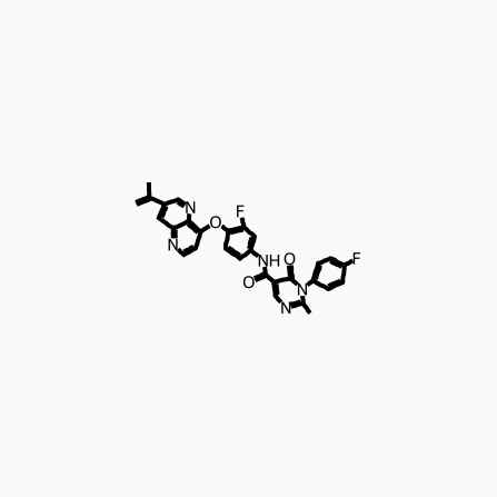 C=C(C)c1cnc2c(Oc3ccc(NC(=O)c4cnc(C)n(-c5ccc(F)cc5)c4=O)cc3F)ccnc2c1